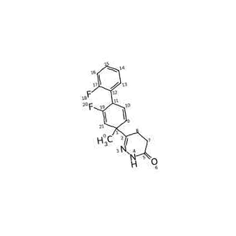 CC1(C2=NNC(=O)CC2)C=CC(c2ccccc2F)C(F)=C1